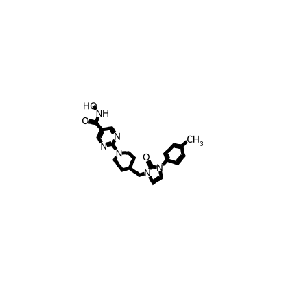 Cc1ccc(-n2ccn(CC3CCN(c4ncc(C(=O)NO)cn4)CC3)c2=O)cc1